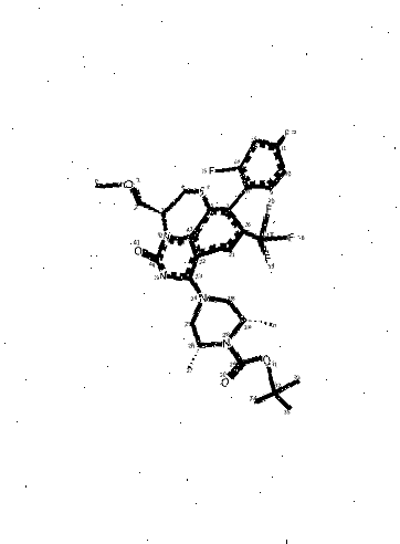 COC[C@H]1CSc2c(-c3ccc(F)cc3F)c(C(F)(F)F)cc3c(N4C[C@@H](C)N(C(=O)OC(C)(C)C)[C@@H](C)C4)nc(=O)n1c23